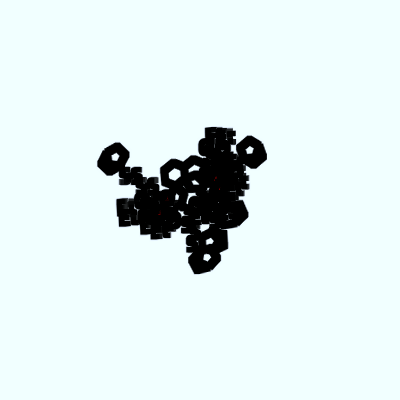 CCO[Si](OCC)(OCC)C(CC1CCCC(CC(SSSSC23CCC(CC2)C3)[Si](OCC)(OCC)OCC)(CC(SSSSC23CCC(CC2)C3)[Si](OCC)(OCC)OCC)C1(CC(SSSSC12CCC(CC1)C2)[Si](OCC)(OCC)OCC)CC(SSSSC12CCC(CC1)C2)[Si](OCC)(OCC)OCC)SSSSC12CCC(CC1)C2